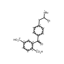 CCCCC(CC)Cc1ccc(C(=O)c2cc(C(=O)O)ccc2C(=O)O)cc1